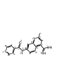 CCCC(=N)c1cc(C)nc2cc(NC(=O)c3ccncc3)ccc12